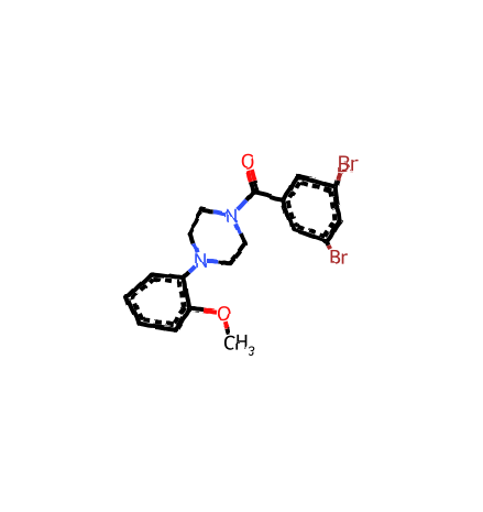 COc1ccccc1N1CCN(C(=O)c2cc(Br)cc(Br)c2)CC1